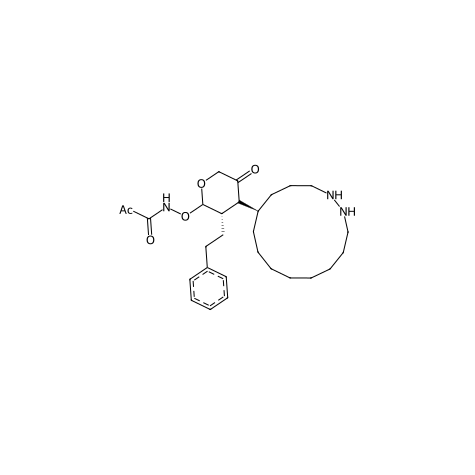 CC(=O)C(=O)NOC1OCC(=O)C([C@@H]2CCCCCCCCNNCCC2)[C@@H]1CCc1ccccc1